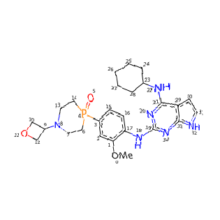 COc1cc(P2(=O)CCN(C3COC3)CC2)ccc1Nc1nc(NC2CCCCC2)c2cc[nH]c2n1